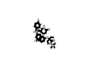 CCC(CC)(Oc1ccc(Cl)cc1[C@H]1CC(=O)N[C@@H](c2cc(F)ccc2C)[C@]12C(=O)Nc1cc(Cl)ccc12)C(=O)NS(C)(=O)=O